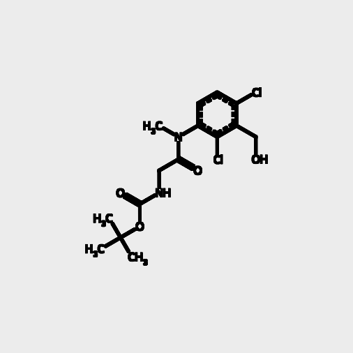 CN(C(=O)CNC(=O)OC(C)(C)C)c1ccc(Cl)c(CO)c1Cl